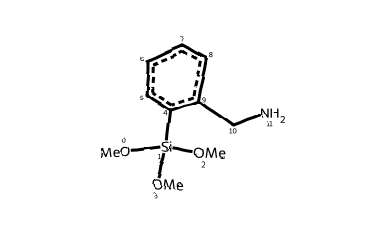 CO[Si](OC)(OC)c1ccccc1CN